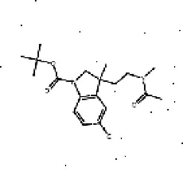 CC(=O)N(C)CCC1(C)CN(C(=O)OC(C)(C)C)c2ccc(Cl)cc21